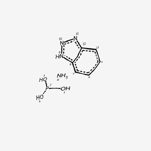 N.OP(O)O.c1ccc2[nH]nnc2c1